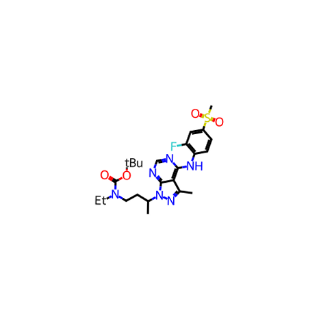 CCN(CCC(C)n1nc(C)c2c(Nc3ccc(S(C)(=O)=O)cc3F)ncnc21)C(=O)OC(C)(C)C